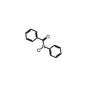 [O]N(C(=O)c1ccccc1)c1ccccc1